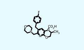 CC1COc2nc(CN3CCOCC3)c(Cc3ccc(F)cc3)cc2N1C(=O)O